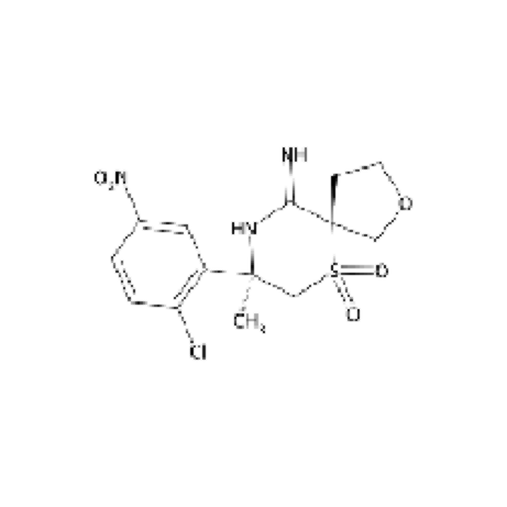 C[C@@]1(c2cc([N+](=O)[O-])ccc2Cl)CS(=O)(=O)[C@]2(CCOC2)C(=N)N1